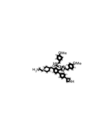 COc1ccc(CNS(=O)(=O)c2c(CC3CCN(CCN)CC3)ccc(-c3ccc(C4CNC4)cc3)c2-c2nnn(Cc3ccc(OC)cc3)n2)cc1